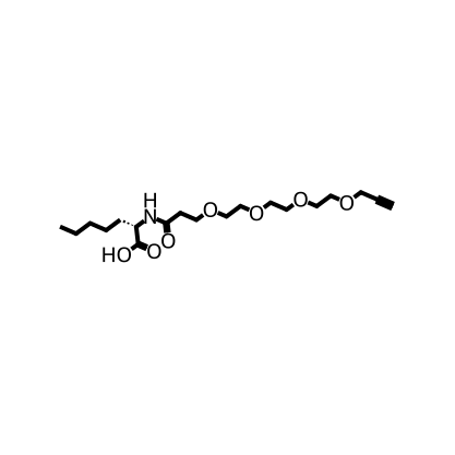 C#CCOCCOCCOCCOCCC(=O)N[C@@H](CCCCC)C(=O)O